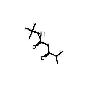 CC(C)C(=O)CC(=O)NC(C)(C)C